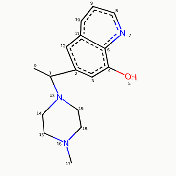 CC(c1cc(O)c2ncccc2c1)N1CCN(C)CC1